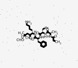 C=CC(=O)N[C@@H](C)C(=O)N[C@@H](CC(C)C)C(=O)N[C@@H](Cc1ccccc1)C(=O)N[C@@H](CCCCN)C(=O)CC(C)(C)O[C]=O